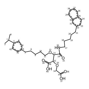 CC(C)c1ccc(CCCCCOC(C(=O)NCCCCCc2ccc3ccccc3c2)C(OCC(=O)O)C(=O)O)cc1